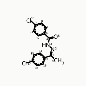 CC(=NNC(=O)c1ccc(Cl)cc1)c1ccc(Cl)cc1